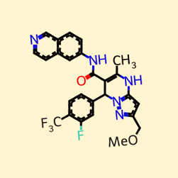 COCc1cc2n(n1)C(c1ccc(C(F)(F)F)c(F)c1)C(C(=O)Nc1ccc3cnccc3c1)=C(C)N2